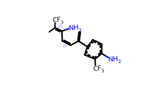 C=C(/C=C\C(N)=C(/C)C(F)(F)F)c1ccc(N)c(C(F)(F)F)c1